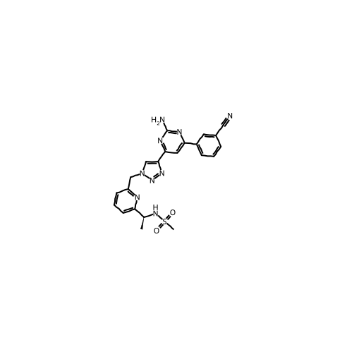 C[C@H](NS(C)(=O)=O)c1cccc(Cn2cc(-c3cc(-c4cccc(C#N)c4)nc(N)n3)nn2)n1